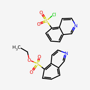 CCOS(=O)(=O)c1cccc2cnccc12.O=S(=O)(Cl)c1cccc2cnccc12